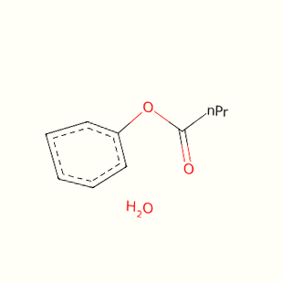 CCCC(=O)Oc1ccccc1.O